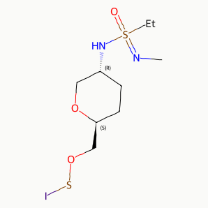 CCS(=O)(=NC)N[C@@H]1CC[C@@H](COSI)OC1